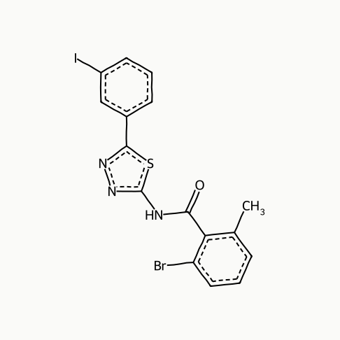 Cc1cccc(Br)c1C(=O)Nc1nnc(-c2cccc(I)c2)s1